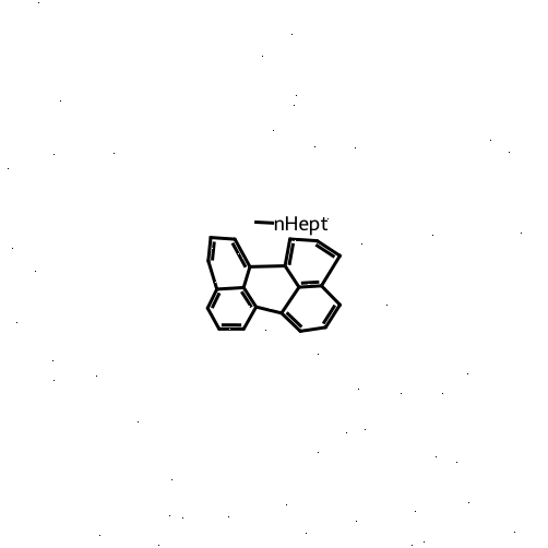 CCCCCCCC.c1cc2cccc3c4cccc5cccc(c(c1)c23)c54